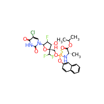 CC(C)OC(=O)[C@H](C)NP(=S)(OC[C@@]1(C(F)F)O[C@@H](n2cc(Cl)c(=O)[nH]c2=O)[C@@H](F)[C@@H]1O)Oc1ccc2ccccc2c1